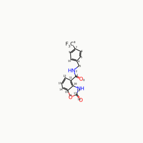 O=C(NCc1ccc(C(F)(F)F)cc1)c1cccc2oc(=O)[nH]c12